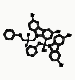 CC(=O)C(Oc1ccccc1)(c1cc(Br)cc2c3cc(Br)ccc3n(CC(F)(F)COc3ccccc3)c12)n1c2ccc(Br)cc2c2cc(Br)ccc21